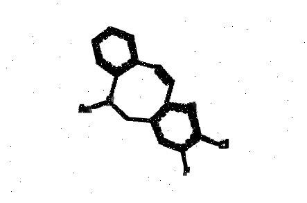 CC(=O)N1Cc2cc(F)c(Cl)nc2/C=C\c2ccccc21